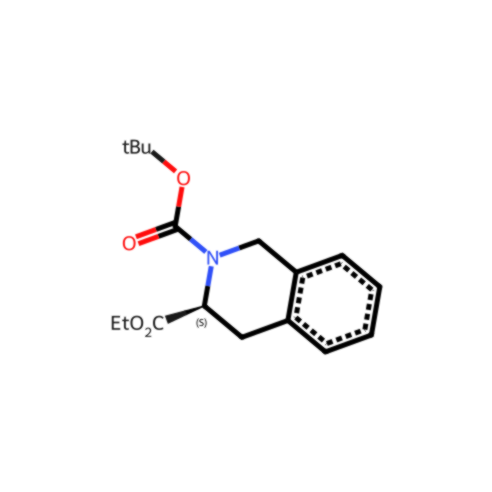 CCOC(=O)[C@@H]1Cc2ccccc2CN1C(=O)OC(C)(C)C